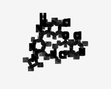 CC(Oc1cc2c(-c3cnc(N4CCC4)c(CN(C)C)c3)n[nH]c2cc1Cl)c1c(Cl)cncc1Cl